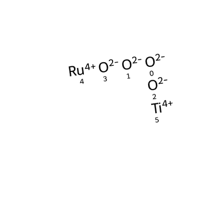 [O-2].[O-2].[O-2].[O-2].[Ru+4].[Ti+4]